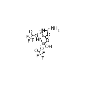 NCC(=O)N[C@@H](COC(=O)C(F)(F)F)C(=O)N[C@@H](COC(=O)C(F)(F)F)C(=O)O